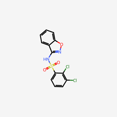 O=S(=O)(Nc1noc2ccccc12)c1cccc(Cl)c1Cl